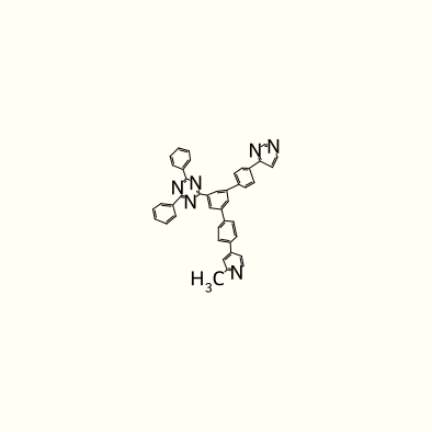 Cc1cc(-c2ccc(-c3cc(-c4ccc(-c5ccncn5)cc4)cc(-c4nc(-c5ccccc5)nc(-c5ccccc5)n4)c3)cc2)ccn1